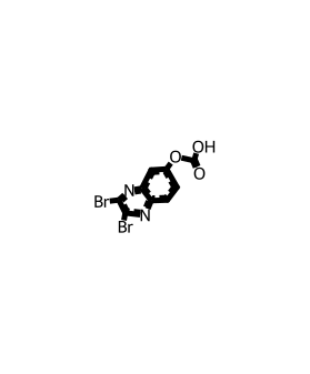 O=C(O)Oc1ccc2nc(Br)c(Br)nc2c1